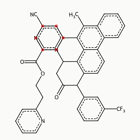 Cc1c(-c2ccnc(C(=O)OCCc3ccccn3)n2)c2c3c(ccc2c2ccccc12)C(c1cccc(C(F)(F)F)c1)C(=O)CC3c1ccc(C#N)cc1